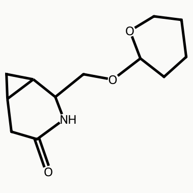 O=C1CC2CC2C(COC2CCCCO2)N1